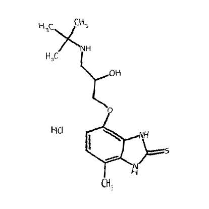 Cc1ccc(OCC(O)CNC(C)(C)C)c2[nH]c(=S)[nH]c12.Cl